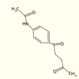 CC(=O)CCC(=O)c1ccc(NC(C)=O)cc1